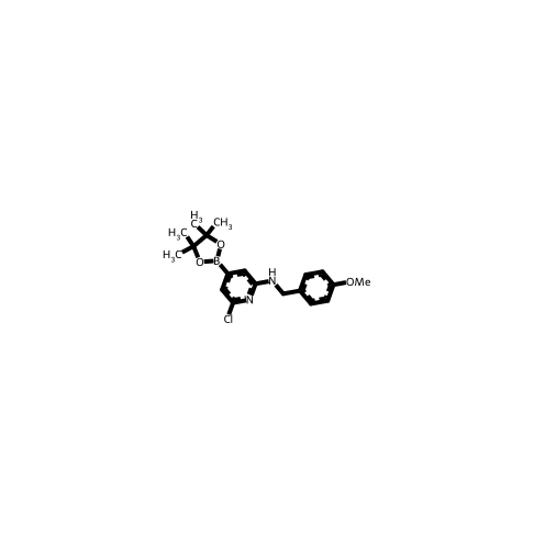 COc1ccc(CNc2cc(B3OC(C)(C)C(C)(C)O3)cc(Cl)n2)cc1